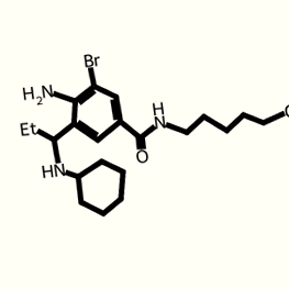 CCC(NC1CCCCC1)c1cc(C(=O)NCCCCCCl)cc(Br)c1N